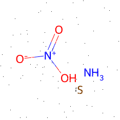 N.O=[N+]([O-])O.[S]